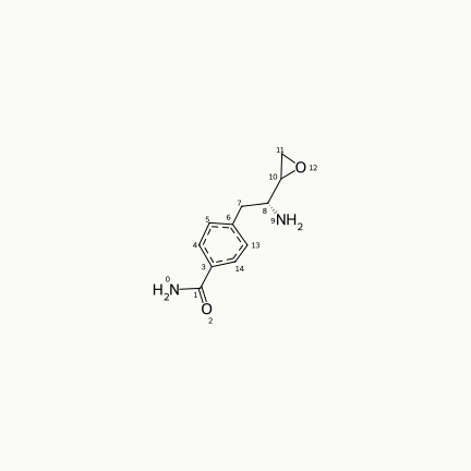 NC(=O)c1ccc(C[C@@H](N)C2CO2)cc1